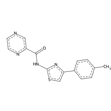 Cc1ccc(-c2csc(NC(=O)c3cnccn3)n2)cc1